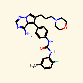 Nc1ncnn2cc(CCCN3CCOCC3)c(-c3ccc(NC(=O)Nc4cc(C(F)(F)F)ccc4F)cc3)c12